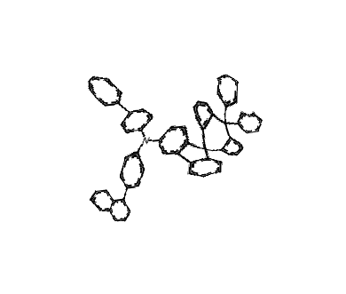 c1ccc(-c2ccc(N(c3ccc(-c4cccc5ccccc45)cc3)c3ccc4c(c3)-c3ccccc3C43c4ccccc4C(c4ccccc4)(c4ccccc4)c4ccccc43)cc2)cc1